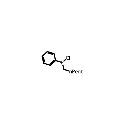 CCCCCCP(Cl)c1ccccc1